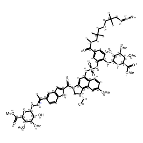 COC(=O)[C@H]1O[C@@H](Oc2ccc(C(=O)N(C)CC(C)(C)COCC(C)(C)CN=[N+]=[N-])cc2OS(=O)(=O)Oc2cc3c(c4cc(OC)ccc24)[C@H](CCl)CN3C(=O)c2cc3cc(/C(C)=N/O[C@@H]4O[C@H](C(=O)OC)[C@@H](OC(C)=O)[C@H](OC(C)=O)[C@H]4O)ccc3[nH]2)[C@H](OC(C)=O)[C@@H](OC(C)=O)[C@@H]1OC(C)=O